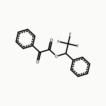 O=C(OC(c1ccccc1)C(F)(F)F)C(=O)c1ccccc1